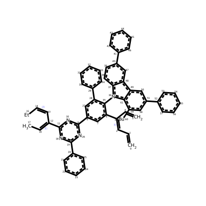 C=C/C=C(\C=C)c1cc(-c2nc(C(/C=C\CC)=C/C)nc(-c3ccccc3)n2)cc(-c2ccccc2)c1-n1c2ccc(-c3ccccc3)cc2c2cc(-c3ccccc3)cc(C(C)(C)C)c21